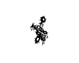 O=C(Cn1ncc2c(NC(=O)[C@H]3C[C@@H](F)CN3C(=O)C3(c4ccc(C(=O)N[S+]([O-])C5CC5)cc4)CCCCC3)cccc21)OCc1ccccc1